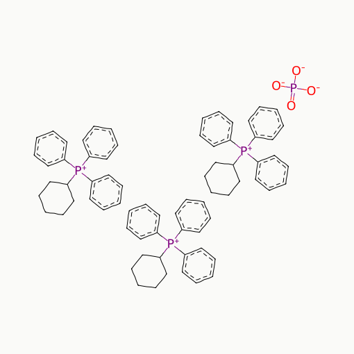 O=P([O-])([O-])[O-].c1ccc([P+](c2ccccc2)(c2ccccc2)C2CCCCC2)cc1.c1ccc([P+](c2ccccc2)(c2ccccc2)C2CCCCC2)cc1.c1ccc([P+](c2ccccc2)(c2ccccc2)C2CCCCC2)cc1